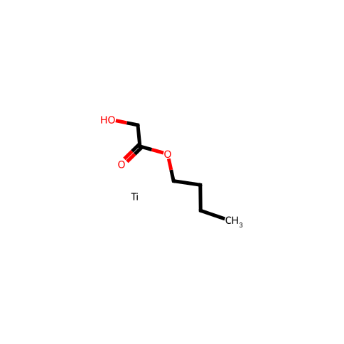 CCCCOC(=O)CO.[Ti]